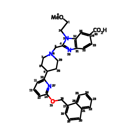 COCCn1c(CN2CCC(c3cccc(OCc4cccc5ccccc45)n3)CC2)nc2ccc(C(=O)O)cc21